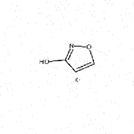 Oc1ccon1.[K]